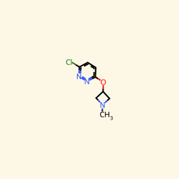 CN1CC(Oc2ccc(Cl)nn2)C1